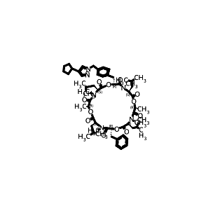 CC(C)C[C@H]1C(=O)O[C@H](Cc2ccc(Cn3cc(C4CCCC4)cn3)cc2)C(=O)N(C)[C@@H](CC(C)C)C(=O)O[C@H](C)C(=O)N(C)[C@@H](CC(C)C)C(=O)O[C@H](Cc2ccccc2)C(=O)N(C)[C@@H](CC(C)C)C(=O)O[C@H](C)C(=O)N1C